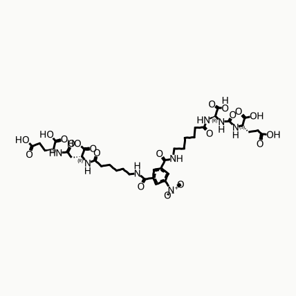 O=C(O)CC[C@H](NC(=O)C[C@@H](NC(=O)CCCCCNC(=O)c1cc(C(=O)NCCCCCC(=O)N[C@H](NC(=O)N[C@@H](CCC(=O)O)C(=O)O)C(=O)O)cc([N+](=O)[O-])c1)C(=O)O)C(=O)O